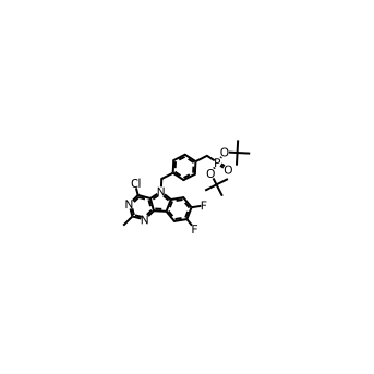 Cc1nc(Cl)c2c(n1)c1cc(F)c(F)cc1n2Cc1ccc(CP(=O)(OC(C)(C)C)OC(C)(C)C)cc1